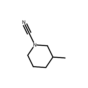 CC1CCCN(C#N)C1